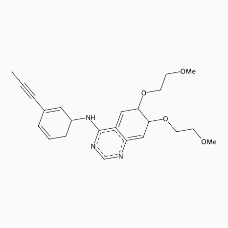 CC#CC1=CC(Nc2ncnc3c2=CC(OCCOC)C(OCCOC)C=3)CC=C1